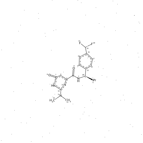 CC(C)[C@@H](NC(=O)c1cc(=O)[nH]c(N(C)C)n1)c1ccc(C(F)F)cc1